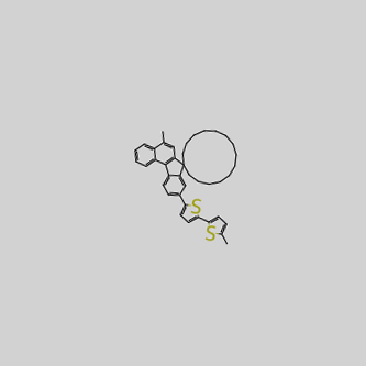 Cc1ccc(-c2ccc(-c3ccc4c(c3)C3(CCCCCCCCCCCCCC3)c3cc(C)c5ccccc5c3-4)s2)s1